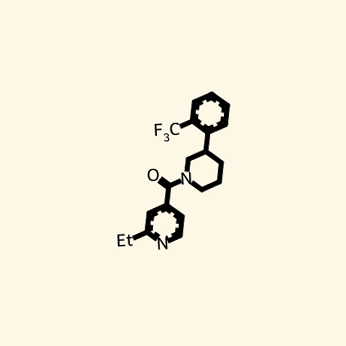 CCc1cc(C(=O)N2CCCC(c3ccccc3C(F)(F)F)C2)ccn1